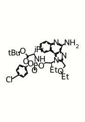 CCOCc1nc2c(N)nc3ccccc3c2n1[C@@H](CC)COP(=O)(N[C@H](C(=O)OC(C)(C)C)C(C)C)Oc1ccc(Cl)cc1